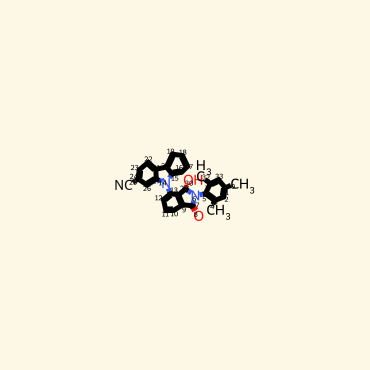 Cc1cc(C)c(N2C(=O)c3cccc(-n4c5ccccc5c5ccc(C#N)cc54)c3C2O)c(C)c1